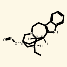 CC[C@H]1C[C@]2(OP=O)C[C@H]3c4[nH]c5ccccc5c4CCN(C2)[C@@H]13